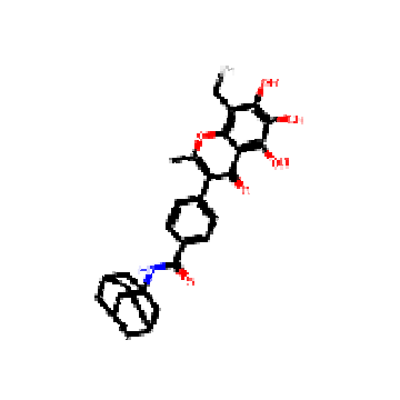 Cc1oc2c(CC(C)C)c(O)c(O)c(O)c2c(=O)c1-c1ccc(C(=O)NC23CC4CC(CC(C4)C2)C3)cc1